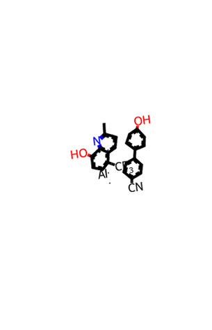 Cc1ccc2c(C(F)(F)F)ccc(O)c2n1.N#Cc1ccc(-c2ccc(O)cc2)cc1.[Al]